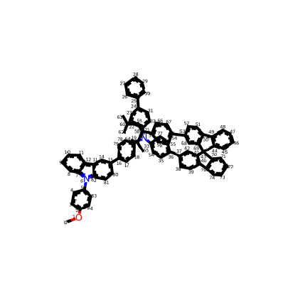 COc1ccc(-n2c3ccccc3c3cc(-c4ccc(N(c5ccc(-c6ccccc6)cc5)c5ccc(-c6ccc7c(c6)C6(c8ccccc8-c8ccc(-c9ccc(C(CC(C)C)C(C)C)cc9)cc86)c6ccccc6-7)cc5)cc4)ccc32)cc1